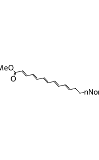 CCCCCCCCCCCC=CC=CC=CC=CC=CC(=O)OC